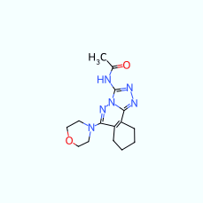 CC(=O)Nc1nnc2c3c(c(N4CCOCC4)nn12)CCCC3